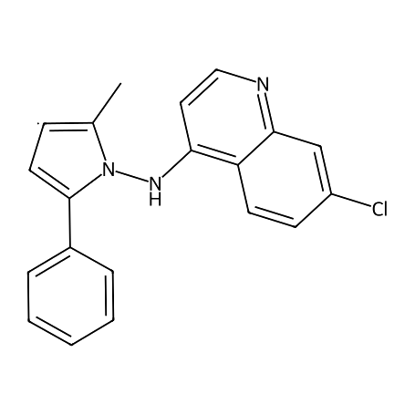 Cc1[c]cc(-c2ccccc2)n1Nc1ccnc2cc(Cl)ccc12